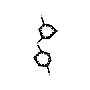 Ic1ccc(Oc2cccc(I)c2)cc1